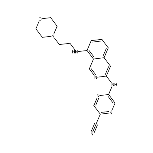 N#Cc1cnc(Nc2cc3cccc(NCCN4CCOCC4)c3cn2)cn1